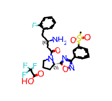 CS(=O)(=O)c1cccc(-c2noc([C@@H]3CCCN3C(=O)C[C@H](N)Cc3ccccc3F)n2)c1.O=C(O)C(F)(F)F